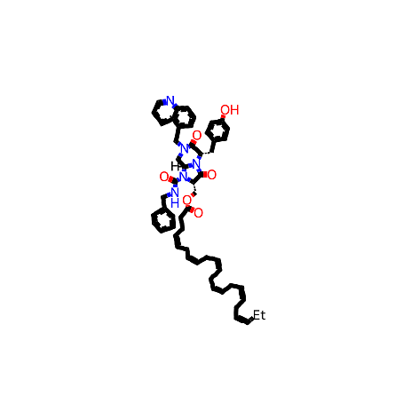 CC/C=C\C/C=C\C/C=C\C/C=C\C/C=C\C/C=C\CCC(=O)OC[C@H]1C(=O)N2[C@H](CN(Cc3cccc4ncccc34)C(=O)[C@@H]2Cc2ccc(O)cc2)N1C(=O)NCc1ccccc1